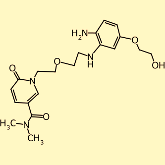 CN(C)C(=O)c1ccc(=O)n(CCOCCNc2cc(OCCO)ccc2N)c1